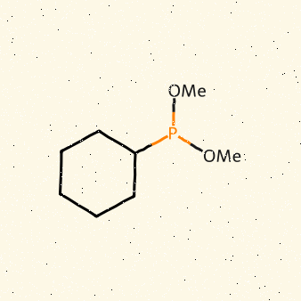 COP(OC)C1CCCCC1